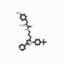 CC(C)(C)c1ccc(-n2nc(-c3ccncc3)cc2CCCNC(=O)[C@@H](N)Cc2ccc(O)cc2)cc1